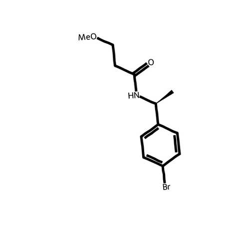 COCCC(=O)N[C@@H](C)c1ccc(Br)cc1